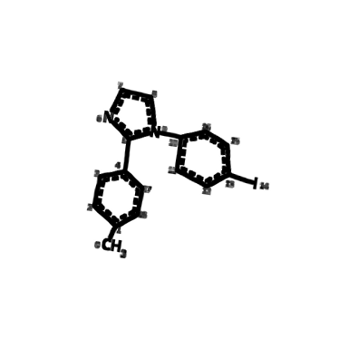 Cc1ccc(-c2nccn2-c2ccc(I)cc2)cc1